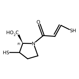 O=C(O)[C@@H]1C(S)CCN1C(=O)C=CS